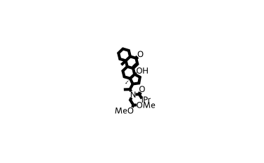 COC(CN(C(=O)C(C)C)C(C)C1CC[C@@]2(O)C3=CC(=O)C4CCCCC4(C)C3CC[C@]12C)OC